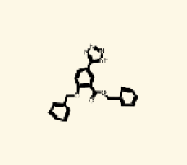 O=C(OCc1ccccc1)c1cc(-c2nnn[nH]2)ccc1OCc1ccccc1